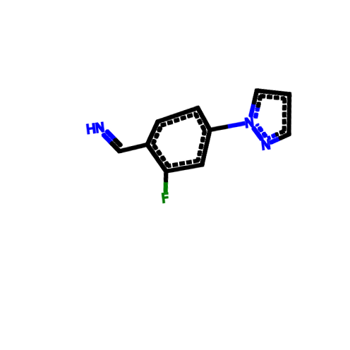 N=Cc1ccc(-n2cccn2)cc1F